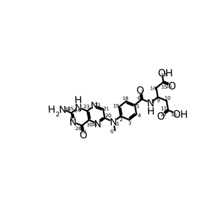 CN(c1ccc(C(=O)NC(CC(=O)O)CC(=O)O)cc1)c1cnc2[nH]c(N)nc(=O)c2n1